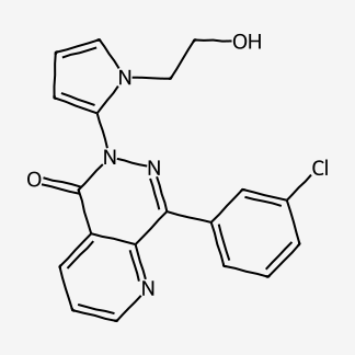 O=c1c2cccnc2c(-c2cccc(Cl)c2)nn1-c1cccn1CCO